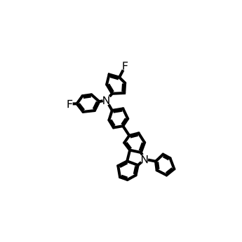 Fc1ccc(N(c2ccc(F)cc2)c2ccc(-c3ccc4c(c3)c3ccccc3n4-c3ccccc3)cc2)cc1